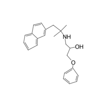 CC(C)(Cc1ccc2ccccc2c1)NCC(O)COc1ccccc1